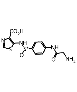 NCC(=O)Nc1ccc([S+]([O-])Nc2scnc2C(=O)O)cc1